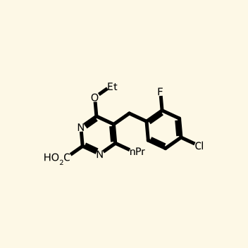 CCCc1nc(C(=O)O)nc(OCC)c1Cc1ccc(Cl)cc1F